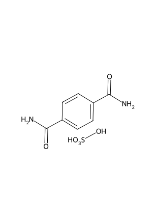 NC(=O)c1ccc(C(N)=O)cc1.O=S(=O)(O)O